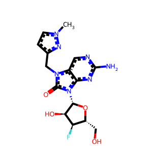 Cn1ccc(Cn2c(=O)n([C@@H]3O[C@H](CO)[C@@H](F)[C@H]3O)c3nc(N)ncc32)n1